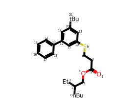 CCCCC(CC)COC(=O)CCSc1cc(-c2ccccc2)cc(C(C)(C)C)c1